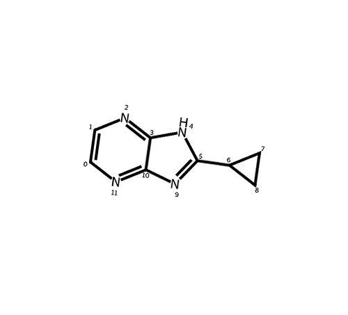 c1cnc2[nH]c(C3CC3)nc2n1